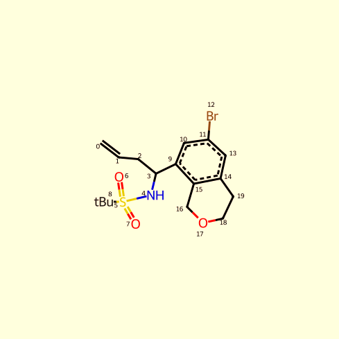 C=CCC(NS(=O)(=O)C(C)(C)C)c1cc(Br)cc2c1COCC2